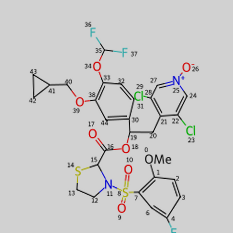 COc1ccc(F)cc1S(=O)(=O)N1CCSC1C(=O)OC(Cc1c(Cl)c[n+]([O-])cc1Cl)c1ccc(OC(F)F)c(OCC2CC2)c1